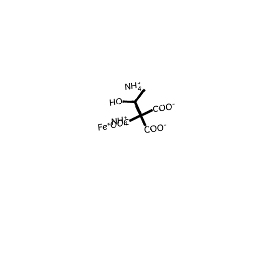 CC(O)C(C(=O)[O-])(C(=O)[O-])C(=O)[O-].[Fe+].[NH4+].[NH4+]